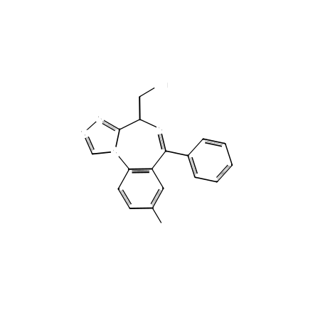 OCC1N=C(c2ccccc2)c2cc(Cl)ccc2-n2cnnc21